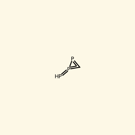 P=P1=C=P1